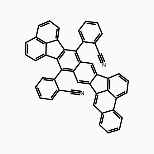 N#Cc1ccccc1-c1c2cc3c(cc2c(-c2ccccc2C#N)c2c4cccc5cccc(c12)c54)c1cc2ccccc2c2cccc3c21